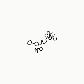 CN(C)C(=O)c1cc(-c2ccccc2)ccc1CN1CCC(C(=O)ON2C(=O)CCC2=O)CC1